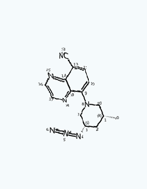 C[C@@H]1C[C@H](N=[N+]=[N-])CN(c2ccc(C#N)c3nccnc23)C1